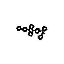 C1=CC2=C(c3ccc(-n4c(-c5ccccc5)nc5ccccc54)cc3)c3ccccc3C(c3ccc(-c4ccccc4)cc3)C2C=C1